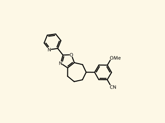 COc1cc(C#N)cc(C2CCCc3nc(-c4ccccn4)oc3C2)c1